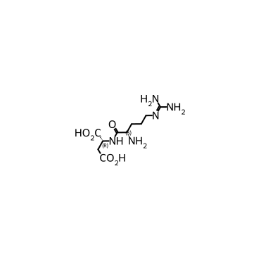 NC(N)=NCCC[C@H](N)C(=O)N[C@H](CC(=O)O)C(=O)O